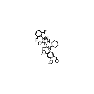 COc1cc(OC)c(N(C(=O)n2nnn(-c3c(F)cccc3F)c2=O)C2CCCCC2)cc1C=O